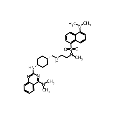 CN(C)c1nc(N[C@H]2CC[C@@H](CNCCN(C)S(=O)(=O)c3cccc4c(N(C)C)cccc34)CC2)nc2ccccc12